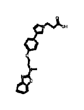 CN(CCOc1ccc(-c2ccn(CCC(=O)O)c2)cc1)c1nc2ccccc2o1